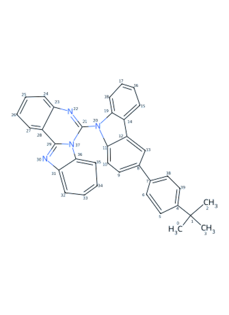 CC(C)(C)c1ccc(-c2ccc3c(c2)c2ccccc2n3-c2nc3ccccc3c3nc4ccccc4n23)cc1